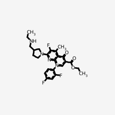 CCNCC1CCN(c2nc3c(c(C)c2F)c(=O)c(C(=O)OCC)cn3-c2ccc(F)cc2F)C1